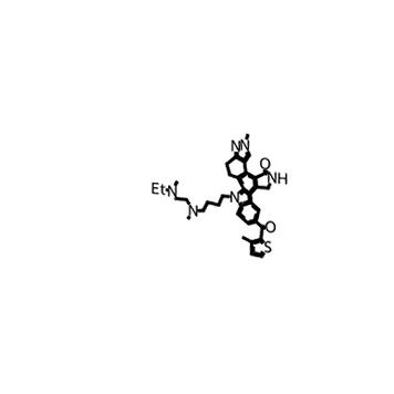 CCN(C)CCN(C)CCCCn1c2ccc(C(=O)c3sccc3C)cc2c2c3c(c4c(c21)CCc1nn(C)cc1-4)C(=O)NC3